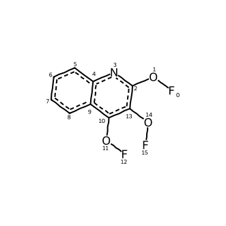 FOc1nc2ccccc2c(OF)c1OF